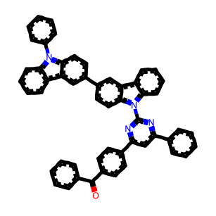 O=C(c1ccccc1)c1ccc(-c2cc(-c3ccccc3)nc(-n3c4ccccc4c4cc(-c5ccc6c(c5)c5ccccc5n6-c5ccccc5)ccc43)n2)cc1